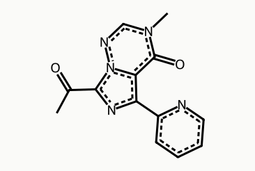 CC(=O)c1nc(-c2ccccn2)c2c(=O)n(C)cnn12